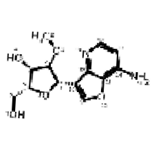 CO[C@@H]1[C@H](O)[C@@H](CO)O[C@H]1c1coc2c(N)ccnc12